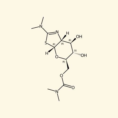 CN(C)C(=O)OC[C@H]1O[C@@H]2SC(N(C)C)=N[C@@H]2[C@@H](O)[C@@H]1O